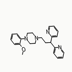 COc1ccccc1N1CCN(CCC(c2ccccn2)c2ccccn2)CC1